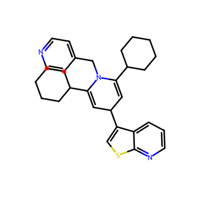 C1=C(C2CCCCC2)N(Cc2ccncc2)C(C2CCCCC2)=CC1c1csc2ncccc12